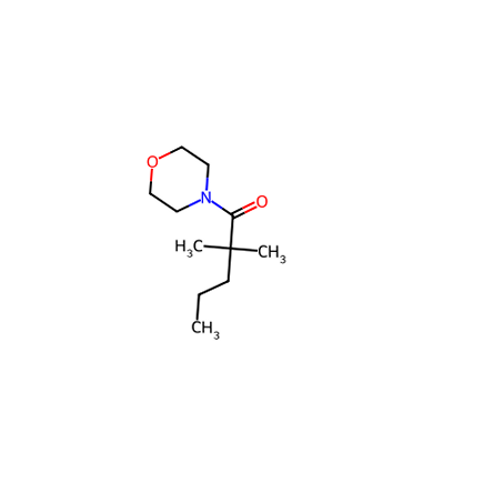 CCCC(C)(C)C(=O)N1CCOCC1